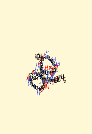 Cc1c2cccc1C(=O)NCCN(CCN1CCNC(=O)c3cccc(c3O)C(=O)NCCNCCNC(=O)c3cccc(c3OCc3ccccc3)C(=O)NCC1)CC(CCCCNC(=O)OC(C)(C)C)NC(=O)c1cccc(c1O)C(=O)NCCNCCNC2=O